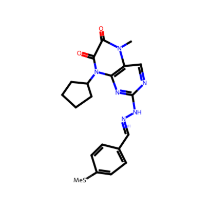 CSc1ccc(/C=N/Nc2ncc3c(n2)n(C2CCCC2)c(=O)c(=O)n3C)cc1